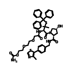 Cc1ncsc1-c1ccc(CNC(=O)[C@@H]2C[C@@H](O)CN2C(=O)[C@@H](NC(=O)COCCOCCOC(N)=O)C(C)(C)SC(c2ccccc2)(c2ccccc2)c2ccccc2)cc1